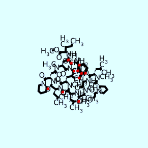 CC[C@H](C)[C@H](NC(=O)[C@H](Cc1cccc(Cl)c1)N(C)C(=O)[C@H](CC(C)C)N(C)C(=O)C[C@H](NC(=O)[C@H](CC(C)C)N(C)C(=O)[C@H](CC(C)C)N(C)C(=O)[C@H](CC(C)C)NC(=O)[C@H](C)N(C)C(=O)[C@H](CCCCN)NC(=O)[C@H](CC(C)C)N(C)C(=O)[C@@H]1CCCN1C(=O)CO)C(=O)N1CCCCC1)C(=O)OC